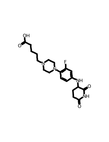 O=C(O)CCCCN1CCN(c2ccc(NC3CCC(=O)NC3=O)cc2F)CC1